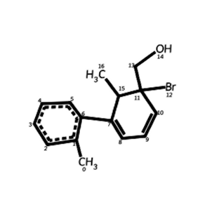 Cc1ccccc1C1=CC=CC(Br)(CO)C1C